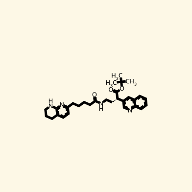 CC(C)(C)OC(=O)[C@@H](CCNC(=O)CCCCc1ccc2c(n1)NCCC2)c1cnc2ccccc2c1